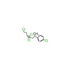 CC(C[Si](Cl)(Cl)CCCCl)c1ccc(Cl)cc1